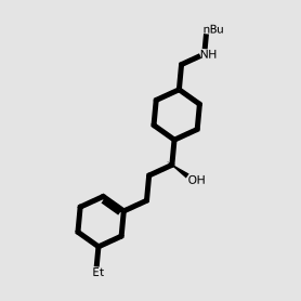 CCCCNCC1CCC([C@@H](O)CCC2=CCCC(CC)C2)CC1